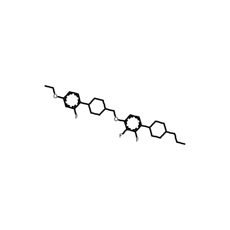 CCCC1CCC(c2ccc(OCC3CCC(c4ccc(OCC)cc4F)CC3)c(F)c2F)CC1